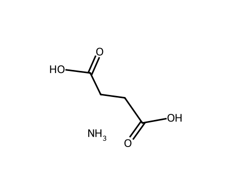 N.O=C(O)CCC(=O)O